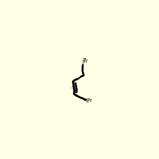 CC(C)/C=C\CC(C)C